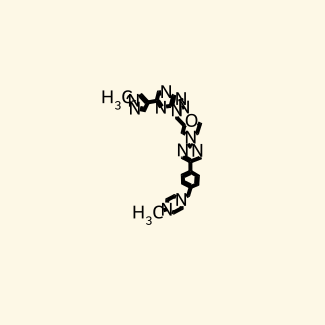 CN1CCN(Cc2ccc(-c3cnc(N4CCOC(Cn5nnc6ncc(-c7cnn(C)c7)nc65)C4)nc3)cc2)CC1